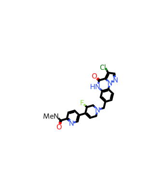 CNC(=O)c1ccc(C2=CCN(Cc3ccc4c(c3)[nH]c(=O)c3c(Cl)cnn34)CC2F)cn1